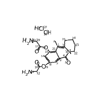 Cc1c2n(c(=O)c3cc(OC(=O)CN)cc(OC(=O)CN)c13)CCCC2.Cl.Cl